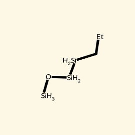 [CH2]CC[SiH2][SiH2]O[SiH3]